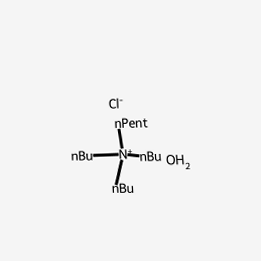 CCCCC[N+](CCCC)(CCCC)CCCC.O.[Cl-]